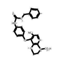 N#Cc1cnc2c(c1Oc1ccc(NC(=O)OCc3ccccc3)cc1)OCCN2C(=O)O